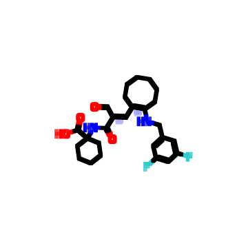 O=C/C(=C\C1=C(/NCc2cc(F)cc(F)c2)CCCCCC1)C(=O)NC1(C(=O)O)CCCCC1